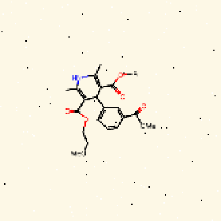 COCCOC(=O)C1=C(C)NC(C)=C(C(=O)OC(C)C)C1c1cccc(C(=O)OC)c1